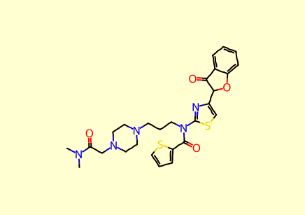 CN(C)C(=O)CN1CCN(CCCN(C(=O)c2cccs2)c2nc(C3Oc4ccccc4C3=O)cs2)CC1